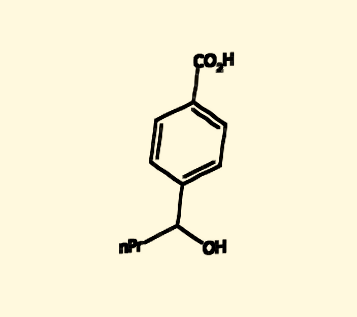 [CH2]CCC(O)c1ccc(C(=O)O)cc1